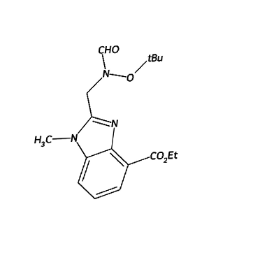 CCOC(=O)c1cccc2c1nc(CN(C=O)OC(C)(C)C)n2C